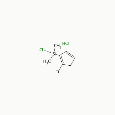 C[Si](C)(Cl)C1=[C]([Ti])CC=C1.Cl